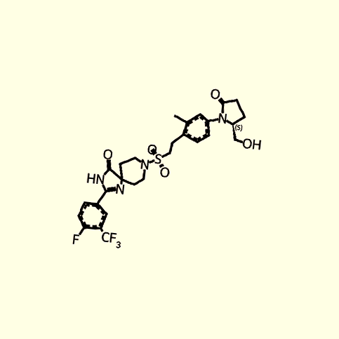 Cc1cc(N2C(=O)CC[C@H]2CO)ccc1CCS(=O)(=O)N1CCC2(CC1)N=C(c1ccc(F)c(C(F)(F)F)c1)NC2=O